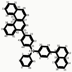 c1ccc(N(c2ccc(-c3cccc4ccccc34)cc2)c2ccc(-c3cc4ccc5ccccc5c4c4ccccc34)cc2)cc1